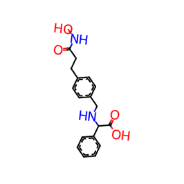 O=C(CCc1ccc(CNC(C(=O)O)c2ccccc2)cc1)NO